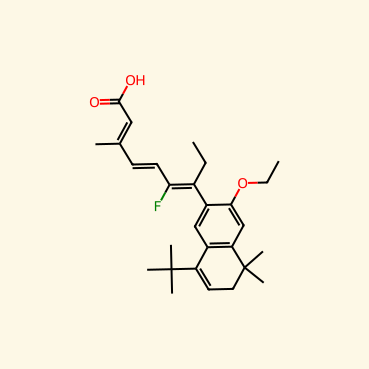 CCOc1cc2c(cc1C(CC)=C(F)C=CC(C)=CC(=O)O)C(C(C)(C)C)=CCC2(C)C